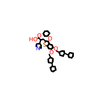 O=C(O)/C(=C/c1sc2cc(OCc3ccc(-c4ccccc4)cc3)c(OCc3ccc(-c4ccccc4)cc3)cc2c1Oc1ccccc1)c1ccncc1